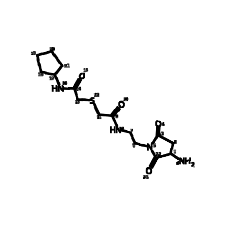 NC1CC(=O)N(CCNC(=O)CSCC(=O)NC2CCCC2)C1=O